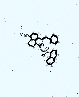 COc1ccc(/C=C/c2ccccc2)c2c1CCCC2C(=O)NS(=O)(=O)c1cccc2ccccc12